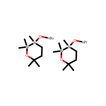 CCCCO[Si]1(C)CCC(C)(C)O[Si]1(C)C.CCCO[Si]1(C)CCC(C)(C)O[Si]1(C)C